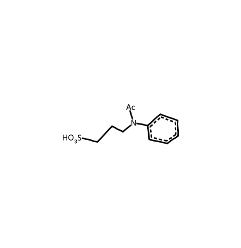 CC(=O)N(CCCS(=O)(=O)O)c1ccccc1